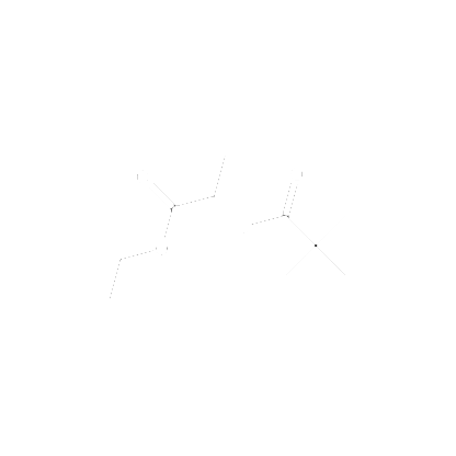 CCOC(=O)C(C)SC(=O)C(C)(C)C